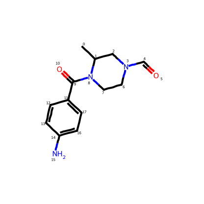 CC1CN(C=O)CCN1C(=O)c1ccc(N)cc1